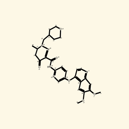 COc1cc2nccc(Oc3ccc(NC(=O)C4=NN(CC5CCOCC5)C(C)CC4=O)nc3)c2cc1OC